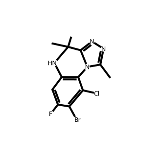 Cc1nnc2n1-c1c(cc(F)c(Br)c1Cl)NC2(C)C